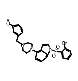 COc1cccc(CN2CCN(c3cccc4c3ccn4S(=O)(=O)c3ccccc3Br)CC2)c1